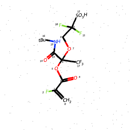 C=C(F)C(=O)OC(OCC(F)(F)S(=O)(=O)O)(C(=O)NC(C)(C)C)C(F)(F)F